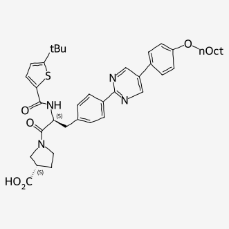 CCCCCCCCOc1ccc(-c2cnc(-c3ccc(C[C@H](NC(=O)c4ccc(C(C)(C)C)s4)C(=O)N4CC[C@H](C(=O)O)C4)cc3)nc2)cc1